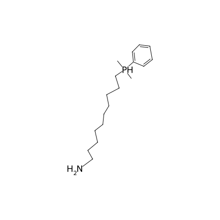 C[PH](C)(CCCCCCCCCCN)c1ccccc1